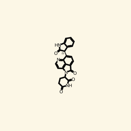 O=C1CCC(N2C(=O)c3ccc([C@H]4C(=O)Nc5ccccc54)c4nccc2c34)C(=O)N1